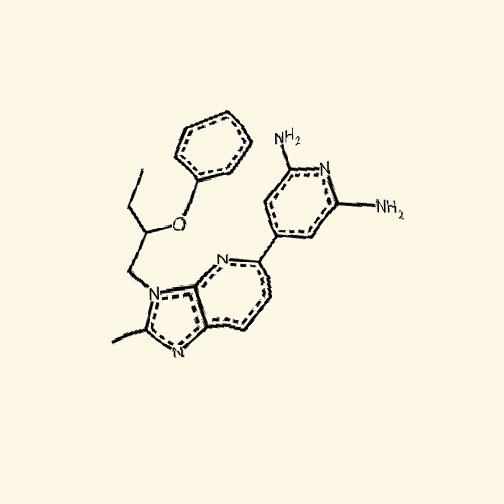 CCC(Cn1c(C)nc2ccc(-c3cc(N)nc(N)c3)nc21)Oc1ccccc1